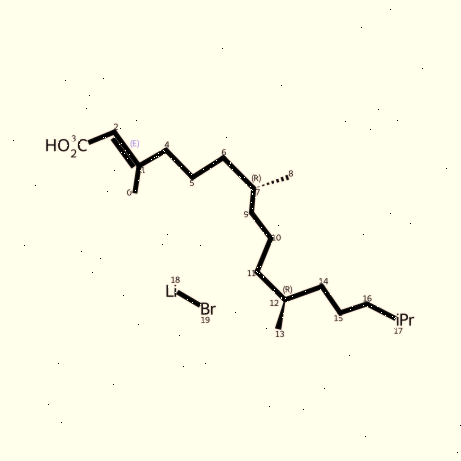 C/C(=C\C(=O)O)CCC[C@H](C)CCC[C@H](C)CCCC(C)C.[Li][Br]